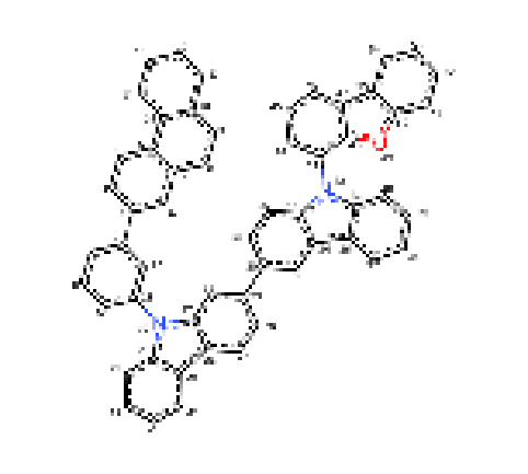 c1cc(-c2ccc3c(ccc4ccccc43)c2)cc(-n2c3ccccc3c3ccc(-c4ccc5c(c4)c4ccccc4n5-c4cccc5c4oc4ccccc45)cc32)c1